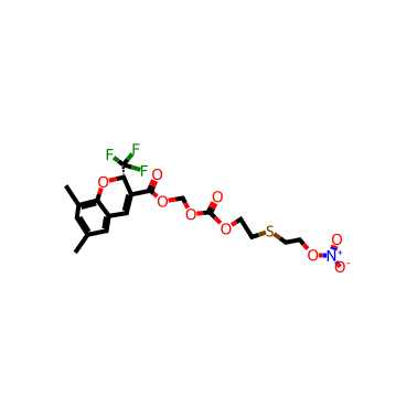 Cc1cc(C)c2c(c1)C=C(C(=O)OCOC(=O)OCCSCCO[N+](=O)[O-])[C@@H](C(F)(F)F)O2